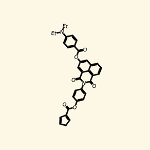 CCN(CC)c1ccc(C(=O)Oc2cc3c4c(cccc4c2)C(=O)N(c2ccc(OC(=O)C4=CCC=C4)cc2)C3=O)cc1